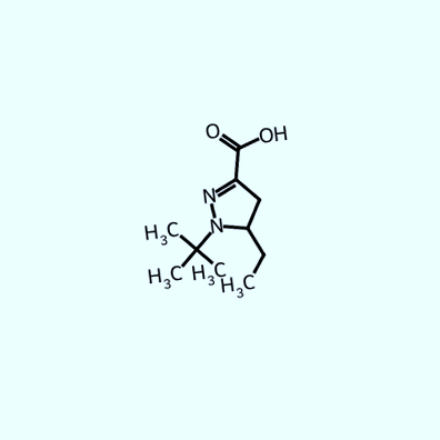 CCC1CC(C(=O)O)=NN1C(C)(C)C